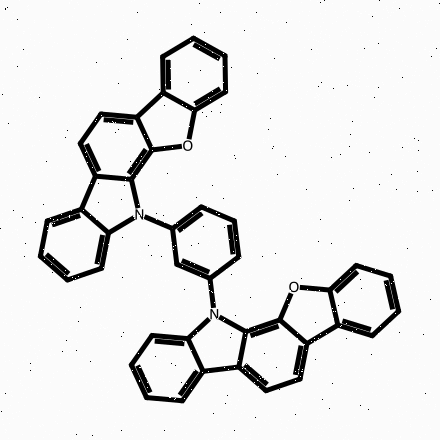 c1cc(-n2c3ccccc3c3ccc4c5ccccc5oc4c32)cc(-n2c3ccccc3c3ccc4c5ccccc5oc4c32)c1